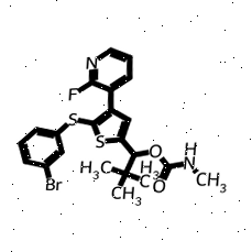 CNC(=O)OC(c1cc(-c2cccnc2F)c(Sc2cccc(Br)c2)s1)C(C)(C)C